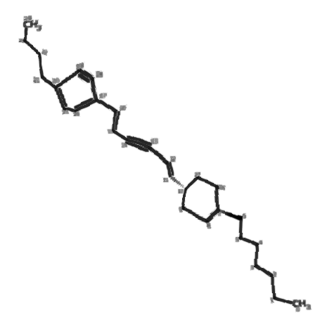 CCCCCCC[C@H]1CC[C@H](/C=C/C#C/C=C/c2ccc(CCCC)cc2)CC1